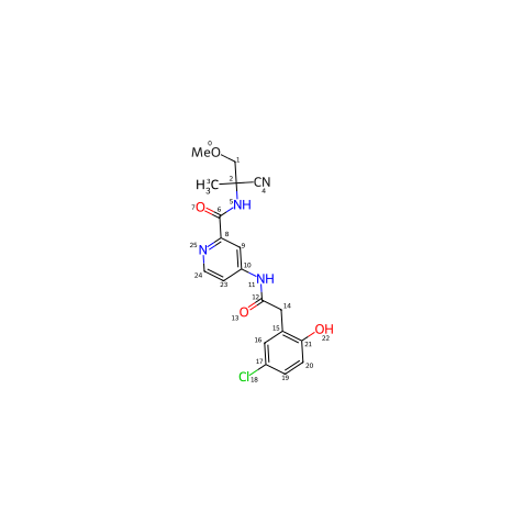 COCC(C)(C#N)NC(=O)c1cc(NC(=O)Cc2cc(Cl)ccc2O)ccn1